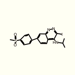 CC(C)Nc1c(I)nnc2cc(-c3ccc(S(C)(=O)=O)cc3)ccc12